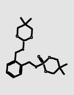 CC1(C)COP(SCc2ccccc2CSP2(=O)OCC(C)(C)CO2)OC1